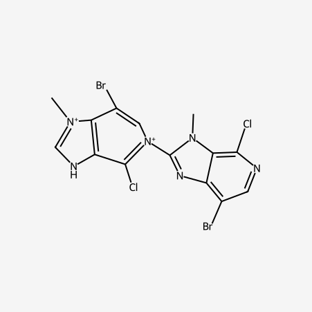 Cn1c(-[n+]2cc(Br)c3c([nH]c[n+]3C)c2Cl)nc2c(Br)cnc(Cl)c21